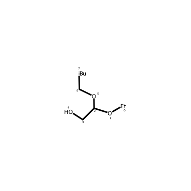 CCOC(CO)OCC(C)CC